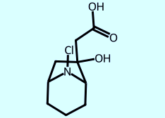 O=C(O)CC1(O)CC2CCCC1N2Cl